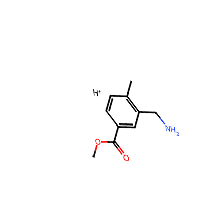 COC(=O)c1ccc(C)c(CN)c1.[H+]